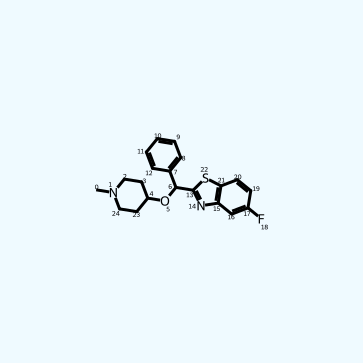 CN1CCC(OC(c2ccccc2)c2nc3cc(F)ccc3s2)CC1